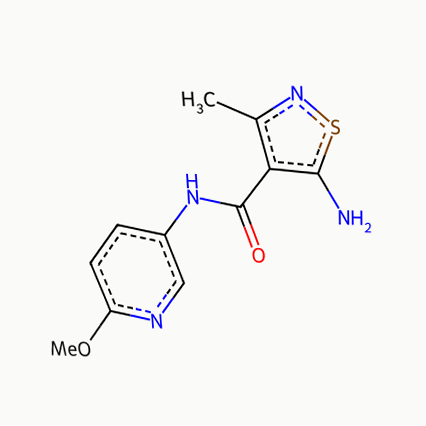 COc1ccc(NC(=O)c2c(C)nsc2N)cn1